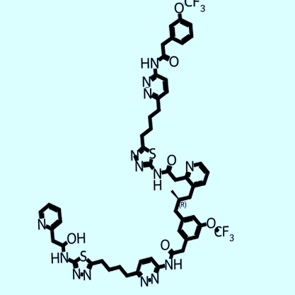 C[C@H](Cc1cc(CC(=O)Nc2ccc(CCCCc3nnc(NC(O)Cc4ccccn4)s3)nn2)cc(OC(F)(F)F)c1)Cc1cccnc1CC(=O)Nc1nnc(CCCCc2ccc(NC(=O)Cc3cccc(OC(F)(F)F)c3)nn2)s1